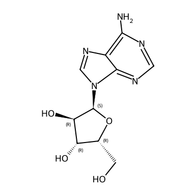 Nc1ncnc2c1ncn2[C@H]1O[C@H](CO)[C@H](O)[C@H]1O